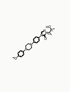 COc1ccc(N2CCN(c3ccc(-n4cnn([C@H](C)[C@H](C)O)c4=O)cc3)CC2)cc1